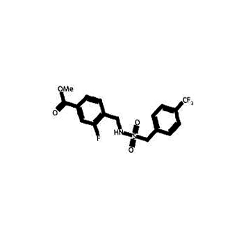 COC(=O)c1ccc(CNS(=O)(=O)Cc2ccc(C(F)(F)F)cc2)c(F)c1